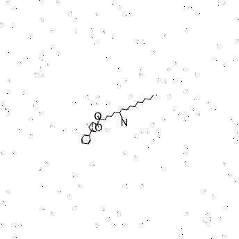 [CH2]CCCCCCCCC(C#N)CCCCC(=O)[C]1OC2CCC1CC2c1ccccc1